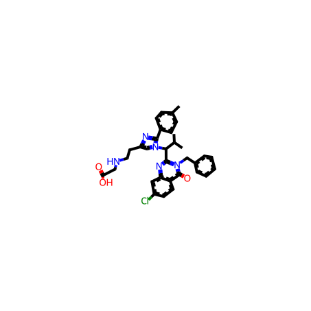 Cc1ccc(-c2nc(CCNCC(=O)O)cn2C(c2nc3cc(Cl)ccc3c(=O)n2Cc2ccccc2)C(C)C)cc1